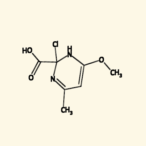 COC1=CC(C)=NC(Cl)(C(=O)O)N1